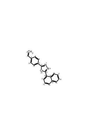 C=Cc1ccc(-c2nnc(-c3cccc4ccccc34)o2)cc1